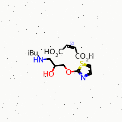 CCC(C)NCC(O)COc1nccs1.O=C(O)/C=C\C(=O)O